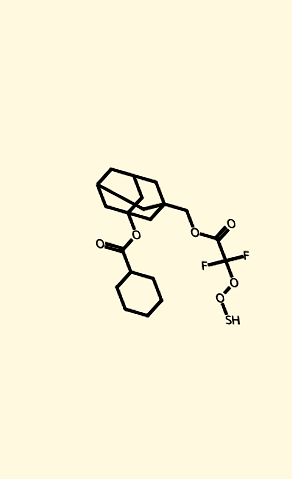 O=C(OC12CC3CC(CC(COC(=O)C(F)(F)OOS)(C3)C1)C2)C1CCCCC1